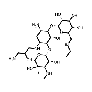 CCNC[C@H]1O[C@H](OC2[C@@H](N)C[C@@H](NCC(O)CN)[C@H](O[C@H]3OC[C@](C)(O)[C@H](NC)[C@H]3O)[C@H]2O)[C@H](O)[C@@H](O)[C@@H]1O